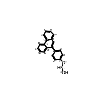 OBOc1ccc(-c2cc3ccccc3c3ccccc23)cc1